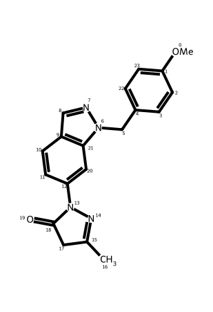 COc1ccc(Cn2ncc3ccc(N4N=C(C)CC4=O)cc32)cc1